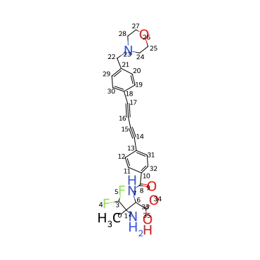 CC(N)(C(F)F)C(NC(=O)c1ccc(C#CC#Cc2ccc(CN3CCOCC3)cc2)cc1)C(=O)O